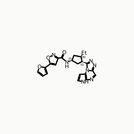 CC[C@@H]1C[C@H](NC(=O)c2cc(-c3ccco3)on2)C[C@@H]1c1nnc2cnc3[nH]ccc3n12